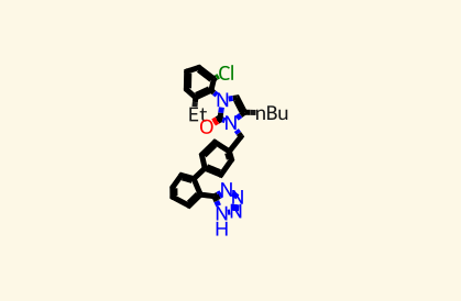 CCCCc1cn(-c2c(Cl)cccc2CC)c(=O)n1Cc1ccc(-c2ccccc2-c2nnn[nH]2)cc1